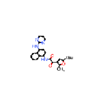 Cc1oc(C(C)(C)C)cc1C(=O)C(=O)Nc1ccc(Nc2ncccn2)c2ccccc12